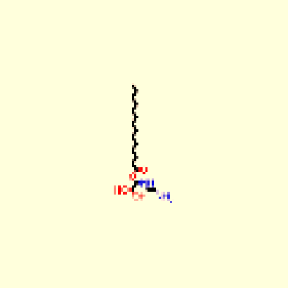 CCCCCCCCCCCCCC(=O)OC(NCCN)C(O)O